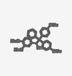 COc1ccc(C(c2ccccc2)(c2ccc(OC)cc2)C(O)c2ccc(OC)c(OC)c2)cc1